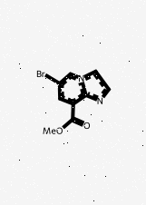 COC(=O)c1cc(Br)cn2ccnc12